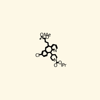 CON(C)C(=O)CCC1=Cc2cc(Cl)ccc2C(C2CCN(C(=O)OC(C)C)CC2)c2ncccc21